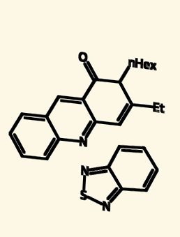 CCCCCCC1C(=O)c2cc3ccccc3nc2C=C1CC.c1ccc2nsnc2c1